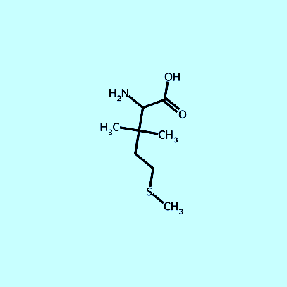 CSCCC(C)(C)C(N)C(=O)O